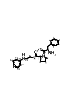 NC(Cc1ccccc1)C(=O)N1CCCC1C(=O)NCCNc1ccncc1